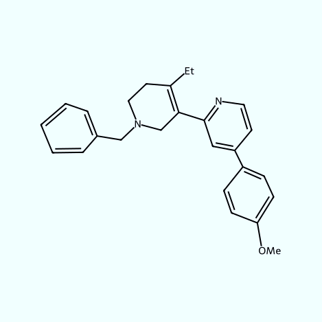 CCC1=C(c2cc(-c3ccc(OC)cc3)ccn2)CN(Cc2ccccc2)CC1